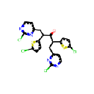 O=C(C(Cc1ccnc(Cl)n1)c1ccc(Cl)s1)C(Cc1ccnc(Cl)n1)c1ccc(Cl)s1